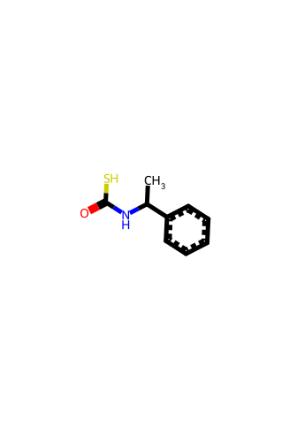 CC(NC(=O)S)c1ccccc1